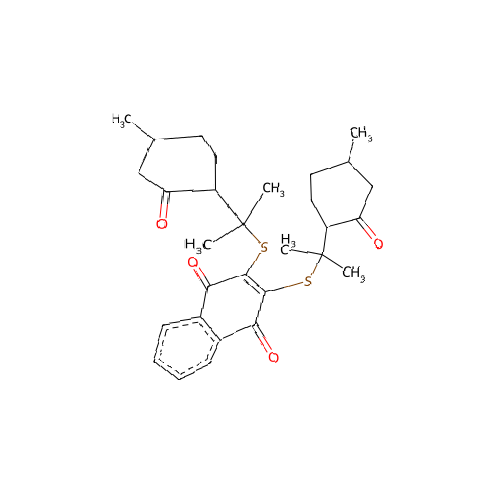 CC1CCC(C(C)(C)SC2=C(SC(C)(C)C3CCC(C)CC3=O)C(=O)c3ccccc3C2=O)C(=O)C1